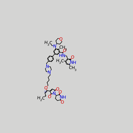 C=C/C=C(/OCCCCCN1CCN(Cc2ccc(-c3cc(C(=O)NCc4c(C)cc(C)[nH]c4=O)c(C)c(N(CC)C4CCOCC4)c3)cc2)CC1)C1=CC(=O)N(C2CCC(=O)NC2=O)C1=O